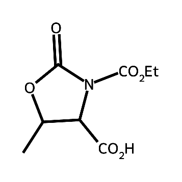 CCOC(=O)N1C(=O)OC(C)C1C(=O)O